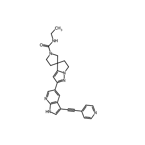 CCNC(=O)N1CCC2(CCn3nc(-c4cnc5[nH]cc(C#Cc6ccncc6)c5c4)cc32)C1